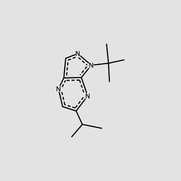 CC(C)c1cnc2cnn(C(C)(C)C)c2n1